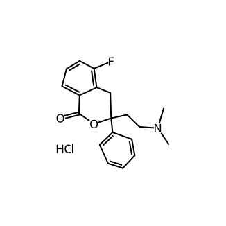 CN(C)CCC1(c2ccccc2)Cc2c(F)cccc2C(=O)O1.Cl